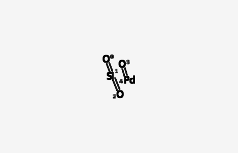 O=[Si]=O.[O]=[Pd]